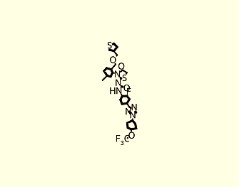 Cc1ccc(COCc2ccsc2)c(N2C(=O)CS/C2=N\C(=O)Nc2ccc(-c3ncn(-c4ccc(OC(F)(F)F)cc4)n3)cc2F)c1